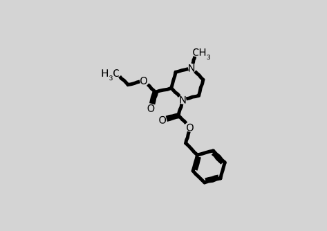 CCOC(=O)C1CN(C)CCN1C(=O)OCc1ccccc1